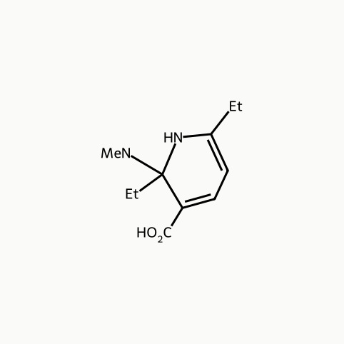 CCC1=CC=C(C(=O)O)C(CC)(NC)N1